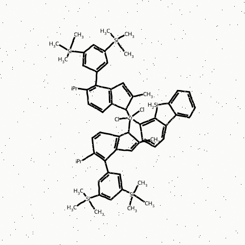 CC1=Cc2c(ccc(C(C)C)c2-c2cc([Si](C)(C)C)cc([Si](C)(C)C)c2)[CH]1[Zr]([Cl])([Cl])([c]1cccc2c1[SiH2]c1ccccc1-2)[CH]1C(C)=Cc2c1ccc(C(C)C)c2-c1cc([Si](C)(C)C)cc([Si](C)(C)C)c1